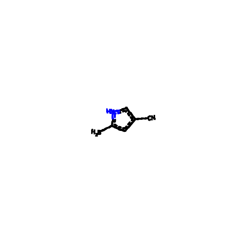 Bc1cc(C#N)c[nH]1